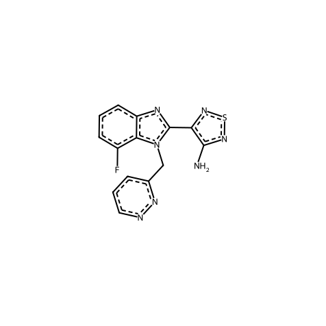 Nc1nsnc1-c1nc2cccc(F)c2n1Cc1cccnn1